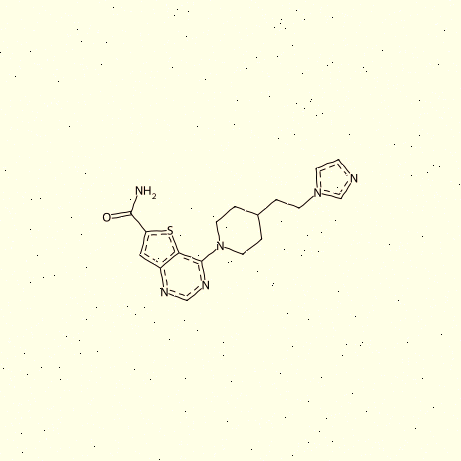 NC(=O)c1cc2ncnc(N3CCC(CCn4ccnc4)CC3)c2s1